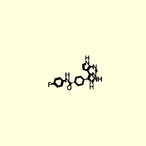 O=C(Nc1ccc(F)cc1)[C@H]1CC[C@H](C2=C3c4cc[nH]c4N=CN3NN2)CC1